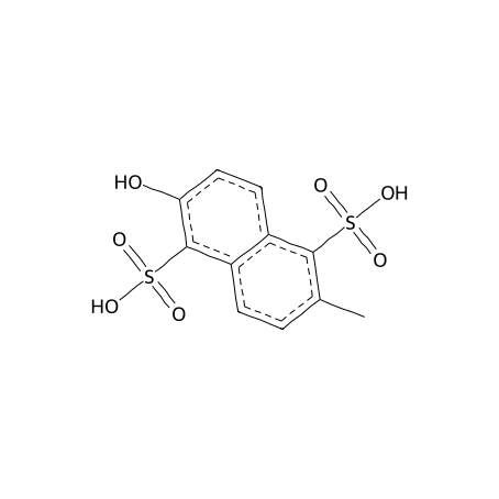 Cc1ccc2c(S(=O)(=O)O)c(O)ccc2c1S(=O)(=O)O